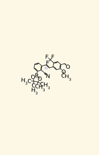 COc1cc(/C=C/c2cccc(B3OC(C)(C)C(C)(C)O3)c2C#N)c(C(F)(F)F)cc1C=O